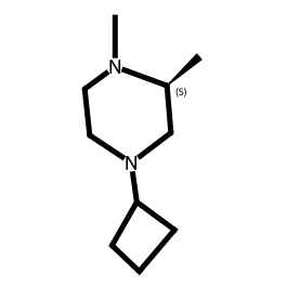 C[C@H]1CN(C2CCC2)CCN1C